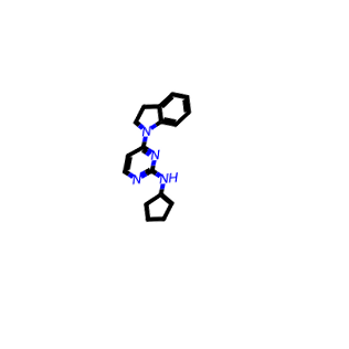 c1ccc2c(c1)CCN2c1ccnc(NC2CCCC2)n1